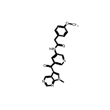 Cn1cc(C(=O)c2cncc(NC(=O)Cc3ccc(OC(F)(F)F)cc3)c2)c2cncnc21